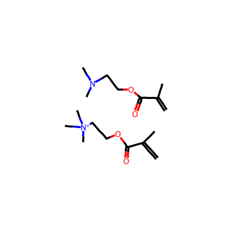 C=C(C)C(=O)OCCN(C)C.C=C(C)C(=O)OCC[N+](C)(C)C